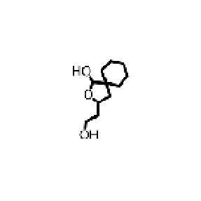 OCCC1CC2(CCCCC2)C(O)O1